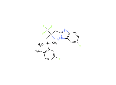 Cc1ccc(F)cc1C(C)(C)CC(N)(Cc1nc2ccc(F)cc2[nH]1)C(F)(F)F